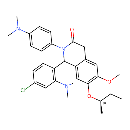 CC[C@@H](C)Oc1cc2c(cc1OC)CC(=O)N(c1ccc(N(C)C)cc1)C2c1ccc(Cl)cc1N(C)C